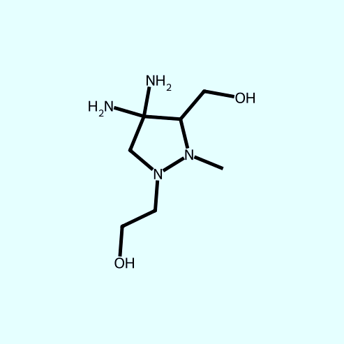 CN1C(CO)C(N)(N)CN1CCO